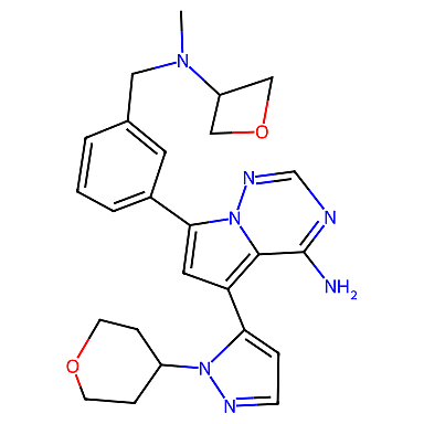 CN(Cc1cccc(-c2cc(-c3ccnn3C3CCOCC3)c3c(N)ncnn23)c1)C1COC1